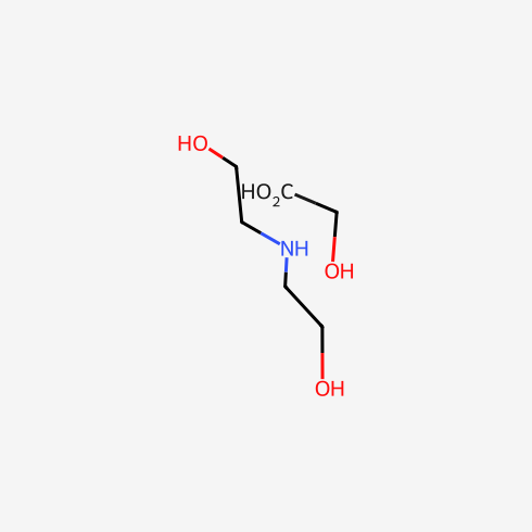 O=C(O)CO.OCCNCCO